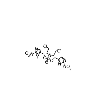 Cn1c(COP(=O)(OCc2cnc([N+](=O)[O-])n2C)N(CCCl)CCCl)cnc1[N+](=O)[O-]